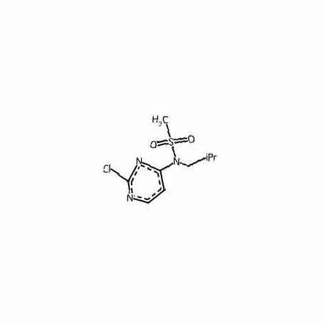 CC(C)CN(c1ccnc(Cl)n1)S(C)(=O)=O